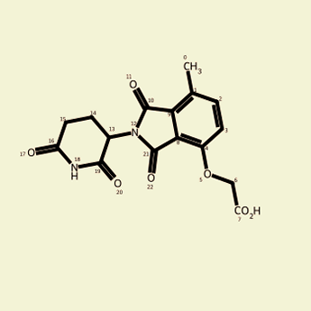 Cc1ccc(OCC(=O)O)c2c1C(=O)N(C1CCC(=O)NC1=O)C2=O